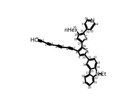 C#CC#CC#CC#Cc1cc(-c2ccc3c(c2)c2ccccc2n3CC)sc1-c1cc(CCCCCC)c(-c2ccncc2)s1